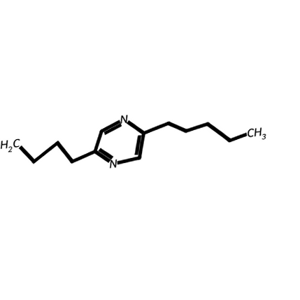 [CH2]CCCc1cnc(CCCCC)cn1